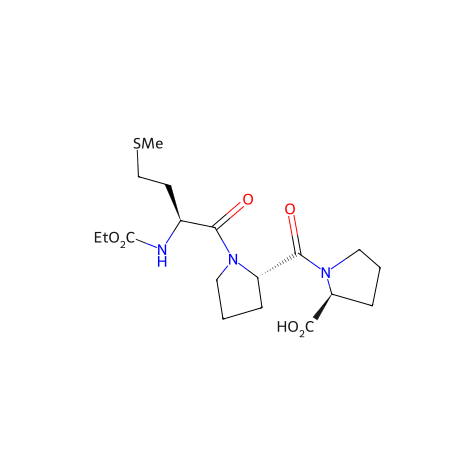 CCOC(=O)N[C@@H](CCSC)C(=O)N1CCC[C@H]1C(=O)N1CCC[C@H]1C(=O)O